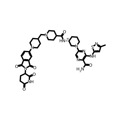 Cc1cc(Nc2nc(N3CCC[C@@H](NC(=O)C4CCN(CC5CCN(c6ccc7c(c6)C(=O)N(C6CCC(=O)NC6=O)C7=O)CC5)CC4)C3)cnc2C(N)=O)sn1